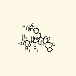 CC(NC(=O)CC(C)(C)O)C(=O)NC(Cc1ccc(S(C)(=O)=O)cc1)C(=O)NC(CC1CCCC1)C(=O)C1CO1